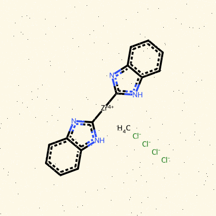 C.[Cl-].[Cl-].[Cl-].[Cl-].c1ccc2[nH][c]([Zr+4][c]3nc4ccccc4[nH]3)nc2c1